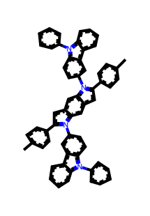 Cc1ccc(-c2cc3cc4c(cc(-c5ccc(C)cc5)n4-c4ccc5c(c4)c4ccccc4n5-c4ccccc4)cc3n2-c2ccc3c(c2)c2ccccc2n3-c2ccccc2)cc1